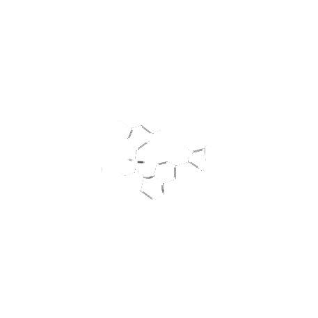 Cc1nc(-c2ccc3c(N(CC(=O)O)S(=O)(=O)c4cc(Cl)cc(Cl)c4)cccc3c2)no1